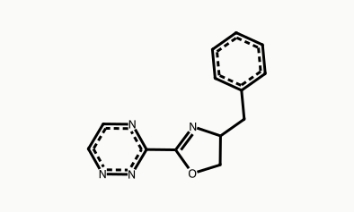 c1ccc(CC2COC(c3nccnn3)=N2)cc1